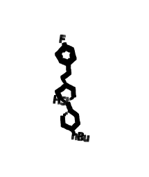 CCCC[C@H]1CC[C@H]([Si@H]2CC[C@H](CCc3ccc(F)cc3)CC2)CC1